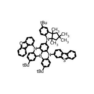 CC1(C)CC2(C)c3cc(C(C)(C)C)ccc3N(c3cc4c5c(c3)N(c3cccc6oc7ccccc7c36)c3ccc(C(C)(C)C)cc3B5c3cc(C(C)(C)C)ccc3N4c3ccc4c(c3)sc3ccccc34)C2(C)C1